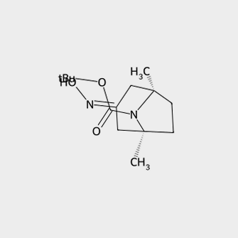 CC(C)(C)OC(=O)N1[C@@]2(C)CC[C@]1(C)C/C(=N\O)C2